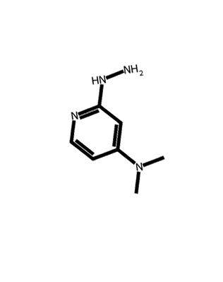 CN(C)c1ccnc(NN)c1